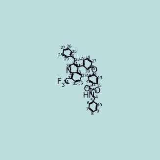 O=S(=O)(NCc1ccccc1)c1ccc(Oc2cccc(-c3c(Cc4ccccc4)cnc4c(C(F)(F)F)cccc34)c2)cc1